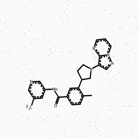 Cc1ccc(C(=O)Nc2cncc(C(F)(F)F)c2)cc1C1CCN(c2cnn3cccnc23)C1